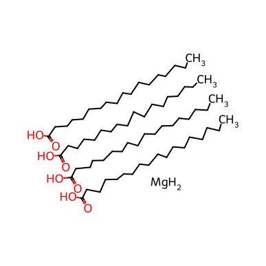 CCCCCCCCCCCCCCCCCC(=O)O.CCCCCCCCCCCCCCCCCC(=O)O.CCCCCCCCCCCCCCCCCC(=O)O.CCCCCCCCCCCCCCCCCC(=O)O.[MgH2]